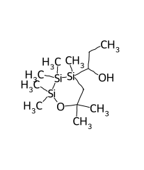 CCC(O)[Si]1(C)CC(C)(C)O[Si](C)(C)[Si]1(C)C